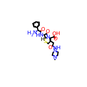 CN1CCN(NC(=O)CC2=C(C(=O)O)N3C(=O)[C@@H](NC(=O)[C@@H](N)c4ccccc4)[C@@H]3SC2)CC1